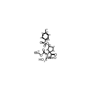 COC(=O)C1(N(NC(=O)O)C(=O)OC(C)(C)C)CCC(OS(=O)(=O)c2ccc(C)cc2)C1